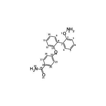 NOc1ccccc1-c1ccccc1Oc1ccc(C(N)=O)cc1